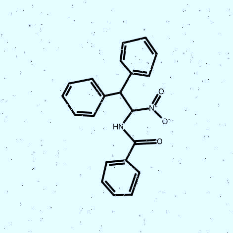 O=C(NC(C(c1ccccc1)c1ccccc1)[N+](=O)[O-])c1ccccc1